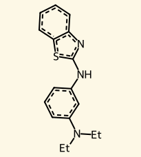 CCN(CC)c1cccc(Nc2nc3ccccc3s2)c1